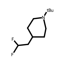 CC(C)(C)N1CCC(CC(F)F)CC1